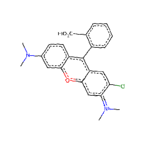 CN(C)c1ccc2c(-c3ccccc3C(=O)O)c3cc(Cl)c(=[N+](C)C)cc-3oc2c1